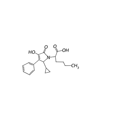 CCCCC(C(=O)O)N1C(=O)C(O)=C(c2ccccc2)C1C1CC1